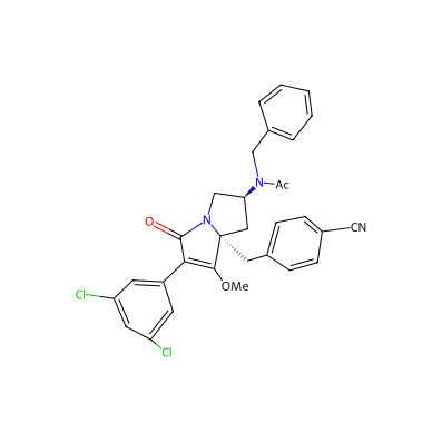 COC1=C(c2cc(Cl)cc(Cl)c2)C(=O)N2C[C@@H](N(Cc3ccccc3)C(C)=O)C[C@@]12Cc1ccc(C#N)cc1